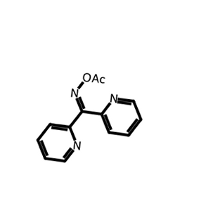 CC(=O)ON=C(c1ccccn1)c1ccccn1